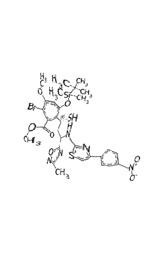 COC(=O)c1c(Br)c(OC)cc(O[Si](C)(C)C(C)(C)C)c1[C@H](S)CC(Nc1nc(-c2ccc([N+](=O)[O-])cc2)cs1)c1nc(C)no1